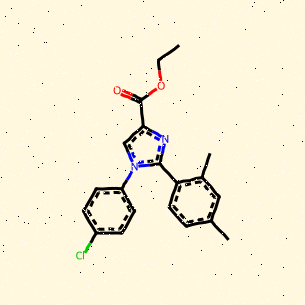 CCOC(=O)c1cn(-c2ccc(Cl)cc2)c(-c2ccc(C)cc2C)n1